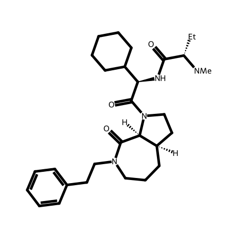 CC[C@H](NC)C(=O)N[C@@H](C(=O)N1CC[C@H]2CCCN(CCc3ccccc3)C(=O)[C@H]21)C1CCCCC1